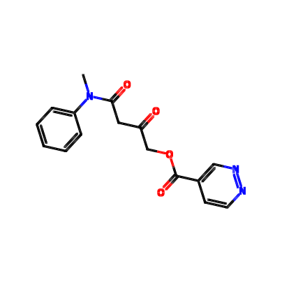 CN(C(=O)CC(=O)COC(=O)c1ccnnc1)c1ccccc1